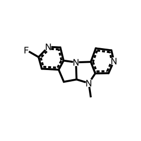 CN1c2cnccc2N2c3cnc(F)cc3CC12